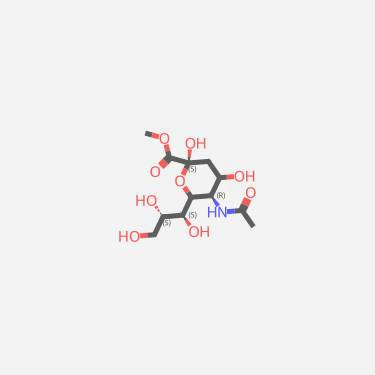 COC(=O)[C@]1(O)CC(O)[C@@H](NC(C)=O)C([C@@H](O)[C@@H](O)CO)O1